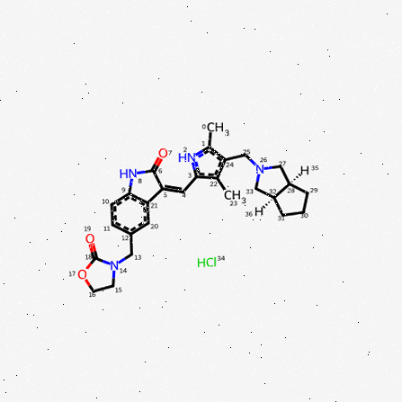 Cc1[nH]c(C=C2C(=O)Nc3ccc(CN4CCOC4=O)cc32)c(C)c1CN1C[C@H]2CCC[C@H]2C1.Cl